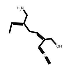 C=C=C/C(=C\C/C(=C\C)CN)CO